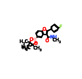 CNC(=O)c1c(-c2ccc(F)cc2)oc2ccc(B3OC(C)(C)C(C)(C)O3)cc12